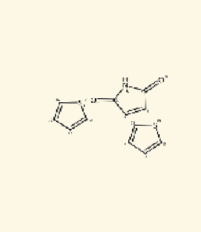 O=C1C=CC(=O)N1.c1ccsc1.c1ccsc1